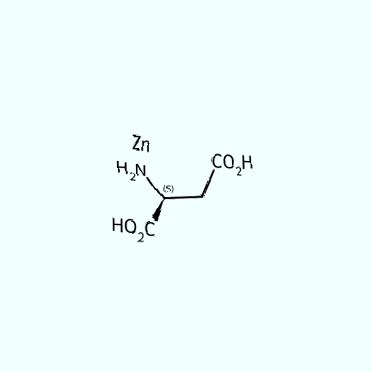 N[C@@H](CC(=O)O)C(=O)O.[Zn]